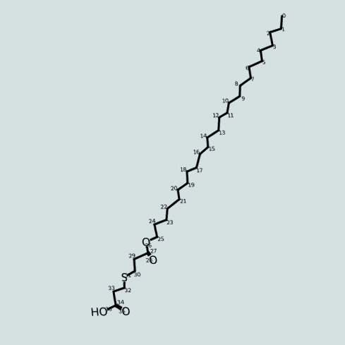 CCCCCCCCCCCCCCCCCCCCCCCCCCOC(=O)CCSCCC(=O)O